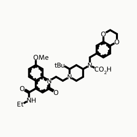 CCNC(=O)c1cc(=O)n(CCN2CCC(N(Cc3ccc4c(c3)OCCO4)C(=O)O)CC2C(C)(C)C)c2cc(OC)ccc12